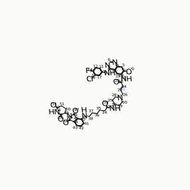 COc1cc2ncnc(Nc3ccc(F)c(Cl)c3)c2cc1NC(=O)/C=C/CN1CCC(NC(=O)CCCCCNc2cccc3c2C(=O)N(C2CCC(=O)NC2=O)C3=O)CC1